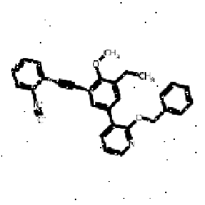 [C-]#[N+]c1ccccc1C#Cc1cc(-c2cccnc2OCc2ccccc2)cc(CC)c1OC